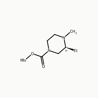 CC[C@H]1CN(C(=O)OC(C)(C)C)CCN1C